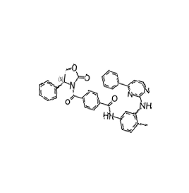 Cc1ccc(NC(=O)c2ccc(C(=O)N3C(=O)OC[C@@H]3c3ccccc3)cc2)cc1Nc1nccc(-c2ccccc2)n1